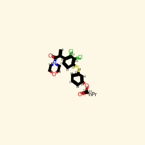 C=C(C(=O)N1CCOCC1)c1ccc(Sc2cccc(OC(=O)CCC)c2)c(Cl)c1Cl